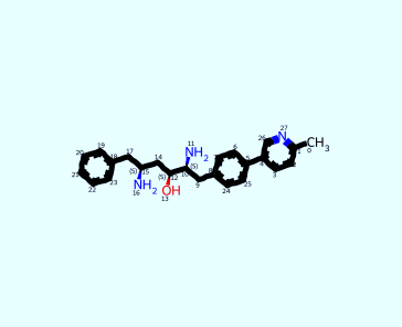 Cc1ccc(-c2ccc(C[C@H](N)[C@@H](O)C[C@@H](N)Cc3ccccc3)cc2)cn1